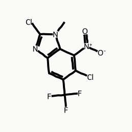 Cn1c(Cl)nc2cc(C(F)(F)F)c(Cl)c([N+](=O)[O-])c21